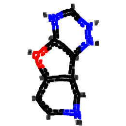 c1cc2oc3ncnnc3c2cn1